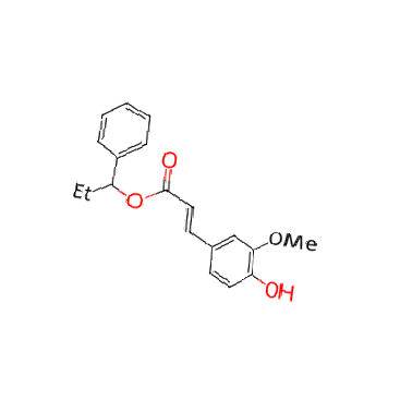 CCC(OC(=O)C=Cc1ccc(O)c(OC)c1)c1ccccc1